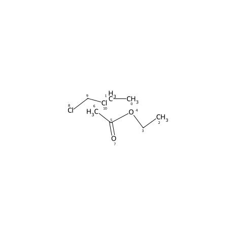 CC.CCOC(C)=O.ClCCl